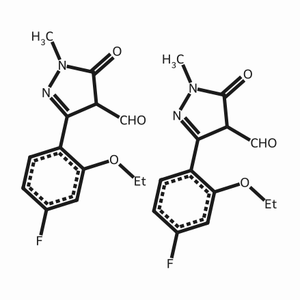 CCOc1cc(F)ccc1C1=NN(C)C(=O)C1C=O.CCOc1cc(F)ccc1C1=NN(C)C(=O)C1C=O